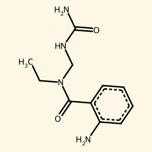 CCN(CNC(N)=O)C(=O)c1ccccc1N